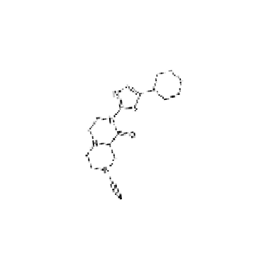 N#CN1CCN2CCN(c3ncc(C4CCCCC4)s3)C(=O)C2C1